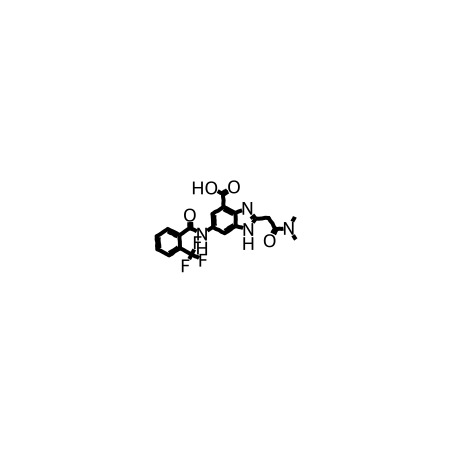 CN(C)C(=O)Cc1nc2c(C(=O)O)cc(NC(=O)c3ccccc3C(F)(F)F)cc2[nH]1